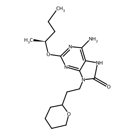 CCC[C@H](C)Oc1nc(N)c2[nH]c(=O)n(CCC3CCCCO3)c2n1